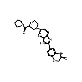 O=C1COc2ccc(-c3nc4ccc(N5CCCC(C(=O)N6CCCC6)C5)nc4[nH]3)cc2N1